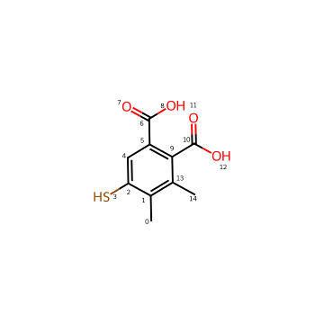 Cc1c(S)cc(C(=O)O)c(C(=O)O)c1C